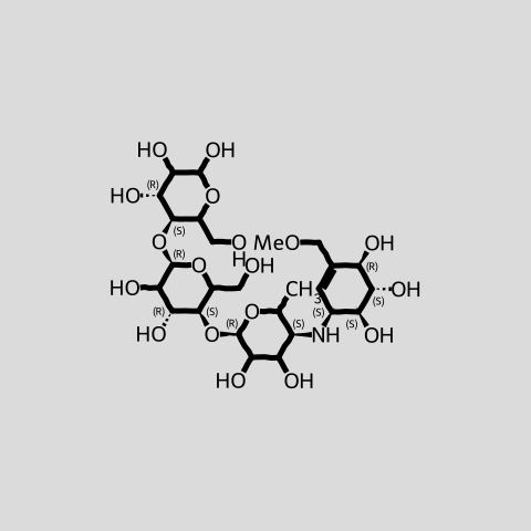 COCC1=C[C@H](N[C@@H]2C(C)O[C@H](O[C@@H]3C(CO)O[C@H](O[C@@H]4C(CO)OC(O)C(O)[C@H]4O)C(O)[C@H]3O)C(O)C2O)[C@H](O)[C@@H](O)[C@@H]1O